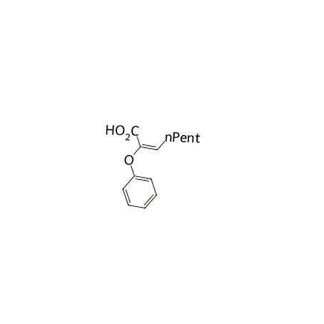 CCCCCC=C(Oc1ccccc1)C(=O)O